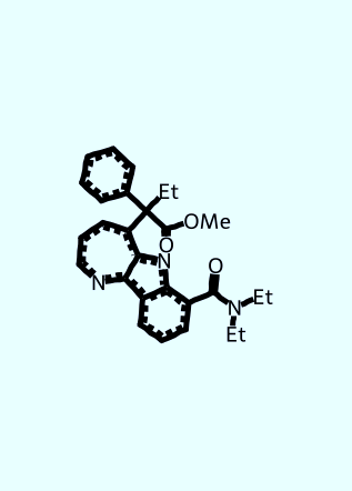 CCN(CC)C(=O)c1cccc2c3ncccc(C(CC)(C(=O)OC)c4ccccc4)c-3nc12